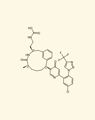 C[C@@H]1CCC[C@H](n2cnc(-c3cc(Cl)ccc3-n3cc(C(F)(F)F)nn3)cc2=O)c2cccc(c2)C[C@H](CCNC(=O)O)NC1=O